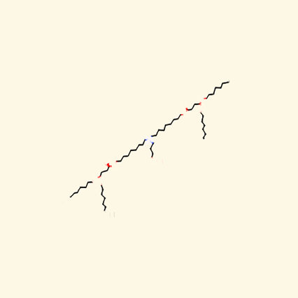 CCCCCCCCOC(CCC(=O)OCCCCCCCCCN(CCCCO)CCCCCCCCCOC(=O)CCC(OCCCCCCCC)OCCCCCCCC)OCCCCCCCC